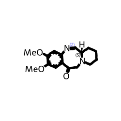 COc1cc2c(cc1OC)C(=O)CN1CCCC[C@H]1/C=N\2